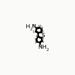 Nc1ccc2c(c1)sc1ccc(N)cc12